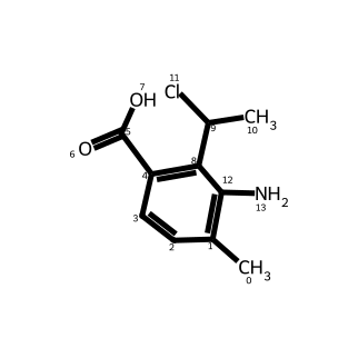 Cc1ccc(C(=O)O)c(C(C)Cl)c1N